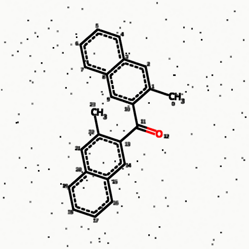 Cc1cc2ccccc2cc1C(=O)c1cc2ccccc2cc1C